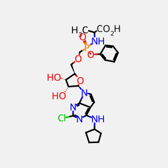 CC(NP(=O)(COC[C@H]1O[C@@H](n2ccc3c(NC4CCCC4)nc(Cl)nc32)[C@H](O)[C@@H]1O)Oc1ccccc1)C(=O)O